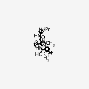 C#C[C@@H](Nc1nc(C)nc(CC(=O)Nc2cnn(C(C)C)c2)c1C1OCCO1)c1cccc(C(F)F)c1C